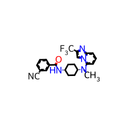 CN(c1cccc2nc(C(F)(F)F)cn12)[C@H]1CC[C@@H](NC(=O)c2cccc(C#N)c2)CC1